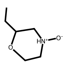 CCC1C[NH+]([O-])CCO1